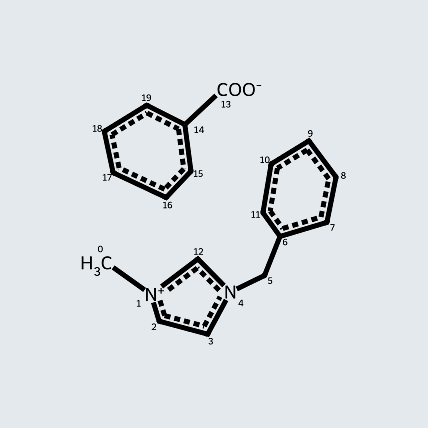 C[n+]1ccn(Cc2ccccc2)c1.O=C([O-])c1ccccc1